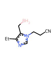 BCc1c(CC)ncn1CCC#N